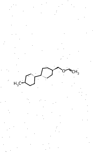 C=COC[C@H]1CC[C@H]([C@H]2CC[C@H](C)CC2)CC1